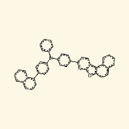 c1ccc(N(c2ccc(-c3ccc4c(n3)oc3ccc5ccccc5c34)cc2)c2ccc(-c3cccc4ccccc34)cc2)cc1